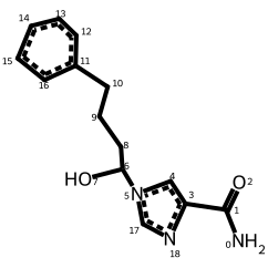 NC(=O)c1cn(C(O)CCCc2ccccc2)cn1